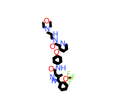 CC1=C(C(=O)Nc2ccc(Oc3cccnc3C(=O)NCCCN3CCOCC3)cc2)N=NC1c1ccccc1OC(F)(F)F